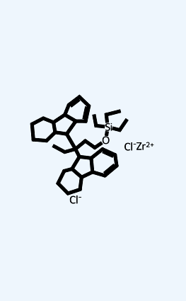 CCC(CCO[Si](CC)(CC)CC)(C1C2C=CC=CC2C2CCCCC21)C1C2C=CC=CC2C2CCCCC21.[Cl-].[Cl-].[Zr+2]